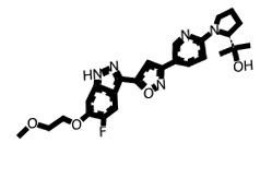 COCCOc1cc2[nH]nc(-c3cc(-c4ccc(N5CCC[C@@H]5C(C)(C)O)nc4)no3)c2cc1F